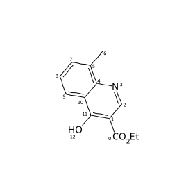 CCOC(=O)c1cnc2c(C)cccc2c1O